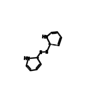 C1=CN[C](SS[C]2C=CC=CN2)C=C1